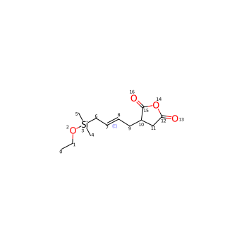 CCO[Si](C)(C)C/C=C/CC1CC(=O)OC1=O